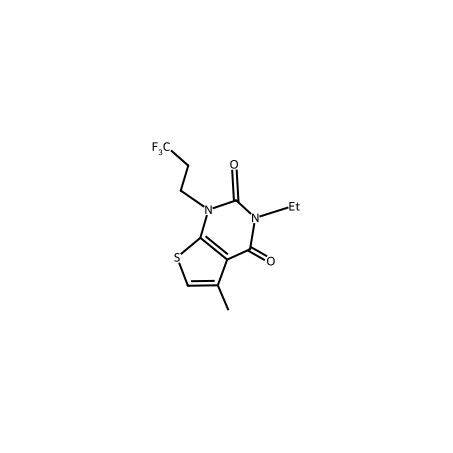 CCn1c(=O)c2c(C)csc2n(CCC(F)(F)F)c1=O